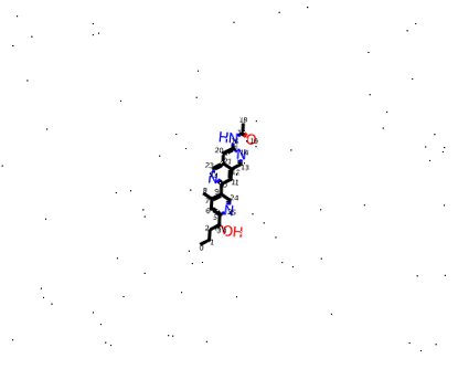 CCC[C@@H](O)c1cc(C)c(-c2cc3cnc(NC(C)=O)cc3cn2)cn1